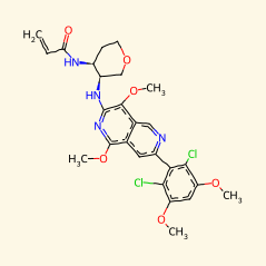 C=CC(=O)N[C@H]1CCOC[C@H]1Nc1nc(OC)c2cc(-c3c(Cl)c(OC)cc(OC)c3Cl)ncc2c1OC